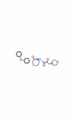 O=C(CN1CCOCC1)NC[C@@H]1CCS[C@H](c2ccc(Oc3ccccc3)cc2)C(=O)N1